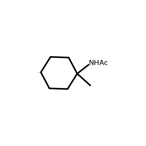 CC(=O)NC1(C)CC[CH]CC1